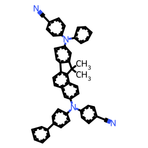 CC1(C)c2cc(N(c3ccccc3)c3ccc(C#N)cc3)ccc2-c2ccc3cc(N(c4ccc(C#N)cc4)c4ccc(-c5ccccc5)cc4)ccc3c21